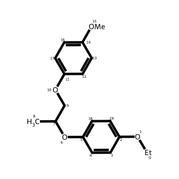 CCOc1ccc(OC(C)COc2ccc(OC)cc2)cc1